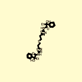 CCC(O)(C(=O)Nc1nnc(CCSCCc2nnc(NC(=O)[C@@](O)(CC)c3ccccc3)s2)s1)c1ccccc1